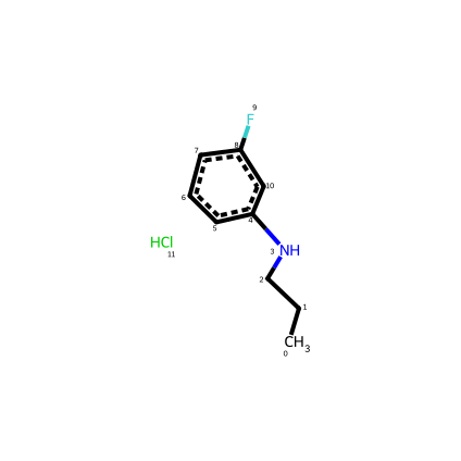 CCCNc1cccc(F)c1.Cl